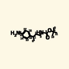 CC(CCNC(=O)OC(C)(C)C)c1ccc(N)cc1